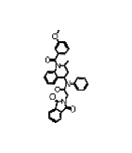 COc1cccc(C(=O)N2c3ccccc3C(N(C(=O)CN3C(=O)c4ccccc4C3=O)c3ccccc3)CC2C)c1